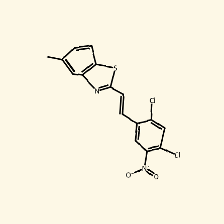 Cc1ccc2sc(C=Cc3cc([N+](=O)[O-])c(Cl)cc3Cl)nc2c1